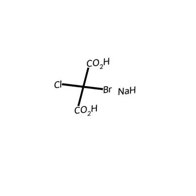 O=C(O)C(Cl)(Br)C(=O)O.[NaH]